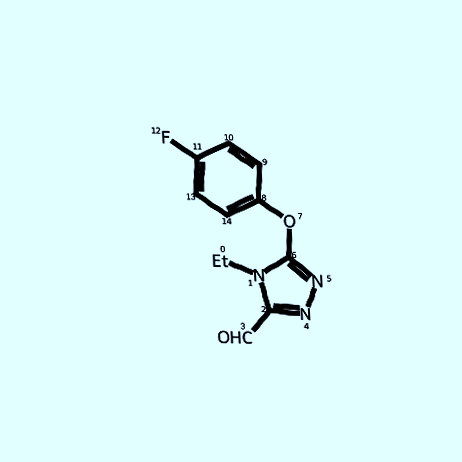 CCn1c(C=O)nnc1Oc1ccc(F)cc1